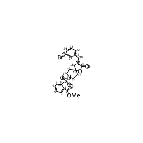 COC(=O)c1ccccc1S(=O)(=O)N1CCC2(CC1)CN(Cc1cccc(Br)c1)C(=O)O2